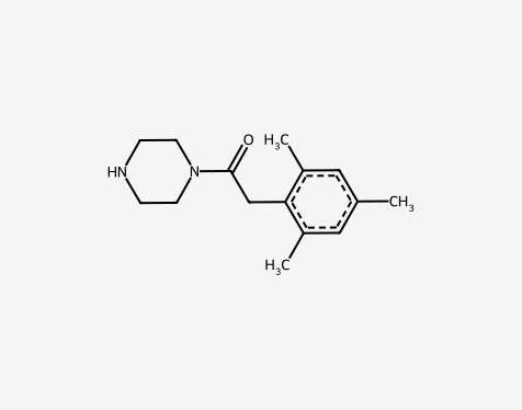 Cc1cc(C)c(CC(=O)N2CCNCC2)c(C)c1